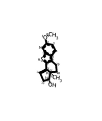 COc1ccc2c3c(sc2c1)C1=CC[C@@H](O)[C@]1(C)CC3